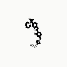 O=C(O)C1CN(Cc2ccc(-c3cc4ccc(C5(N6CCCCC6)CC5)cc4o3)c(F)c2)C1